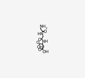 NCC(=O)NCC(=O)NC(CC(=O)O)C(=O)O